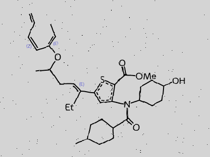 C=C/C=C\C(=C/C)OC(C)C/C=C(\CC)c1cc(N(C(=O)C2CCC(C)CC2)C2CCC(O)CC2)c(C(=O)OC)s1